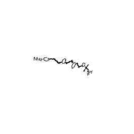 COCCOCCOCCOC(C)(C)CC(C)C